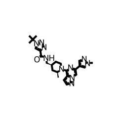 C[C@H]1C[C@@H](CNC(=O)c2cn(C(C)(C)C)nn2)CCN1c1nc(-c2cnn(C)c2)cn2nccc12